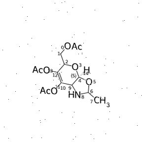 CC(=O)OCC1O[C@H]2OC(C)NC2C(OC(C)=O)=C1OC(C)=O